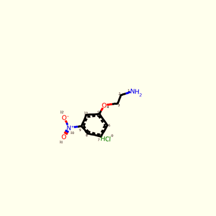 Cl.NCCOc1cccc([N+](=O)[O-])c1